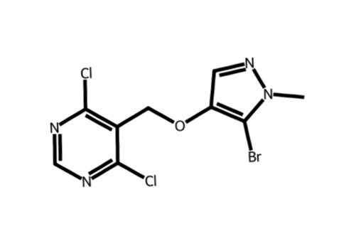 Cn1ncc(OCc2c(Cl)ncnc2Cl)c1Br